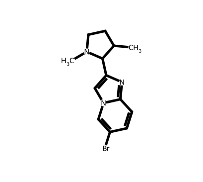 CC1CCN(C)C1c1cn2cc(Br)ccc2n1